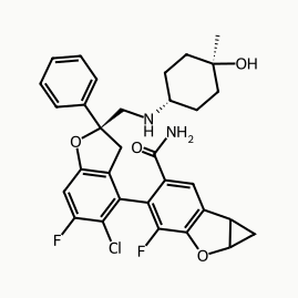 C[C@]1(O)CC[C@H](NC[C@@]2(c3ccccc3)Cc3c(cc(F)c(Cl)c3-c3c(C(N)=O)cc4c(c3F)OC3CC43)O2)CC1